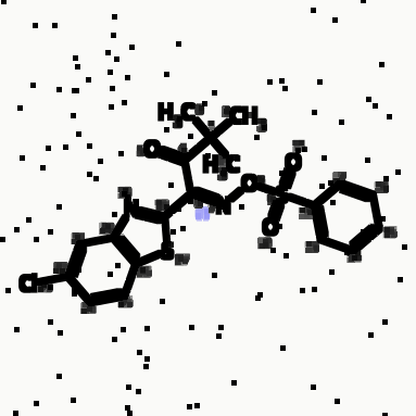 CC(C)(C)C(=O)/C(=N\OS(=O)(=O)c1ccccc1)c1nc2cc(Cl)ccc2s1